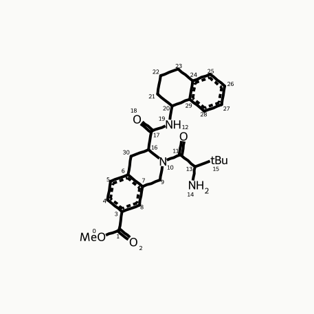 COC(=O)c1ccc2c(c1)CN(C(=O)C(N)C(C)(C)C)C(C(=O)NC1CCCc3ccccc31)C2